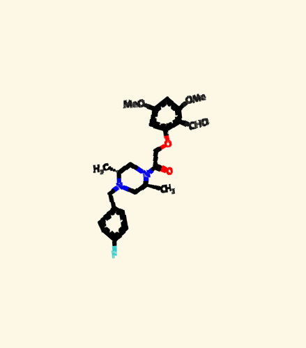 COc1cc(OC)c(C=O)c(OCC(=O)N2C[C@@H](C)N(Cc3ccc(F)cc3)C[C@@H]2C)c1